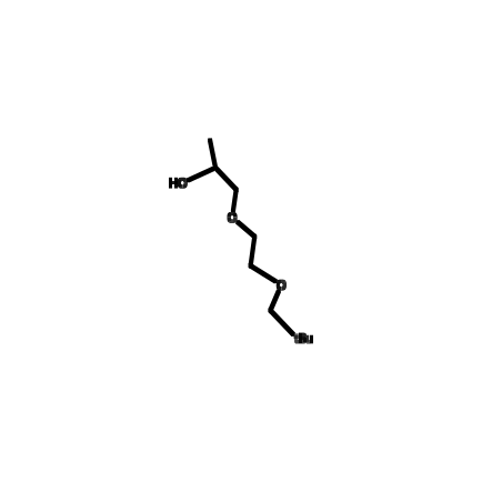 CC(O)COCCOCC(C)(C)C